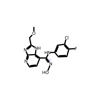 COCc1nc2nccc(/C(=N\O)Nc3ccc(F)c(Cl)c3)c2[nH]1